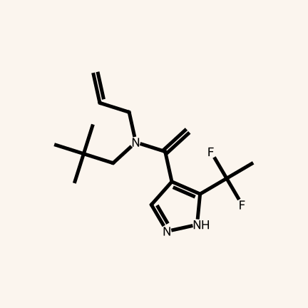 C=CCN(CC(C)(C)C)C(=C)c1cn[nH]c1C(C)(F)F